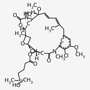 COc1cc2cc(c1Cl)N(C)C(=O)C[C@H](OC(=O)CCC[Si](C)(C)O)[C@@]1(C)CC(C)(O1)[C@@H]1C[C@@](O)(NC(=O)O1)[C@H](OC)/C=C/C=C(\C)C2